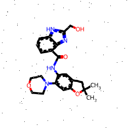 CC1(C)Cc2cc(NC(=O)c3cccc4[nH]c(CO)nc34)c(N3CCOCC3)cc2O1